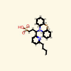 CCCCc1cccc(C(CCS(=O)(=O)O)N2c3ccccc3Sc3ccccc32)n1